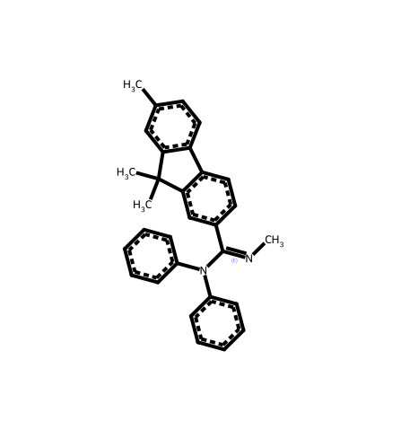 C/N=C(\c1ccc2c(c1)C(C)(C)c1cc(C)ccc1-2)N(c1ccccc1)c1ccccc1